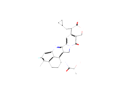 Cc1c(F)cc2nc3c(c4c2c1CC[C@H]4NC(=O)[C@H](C)O)Cn1c-3cc2c(c1=O)COC(=O)[C@]2(O)CC1CC1